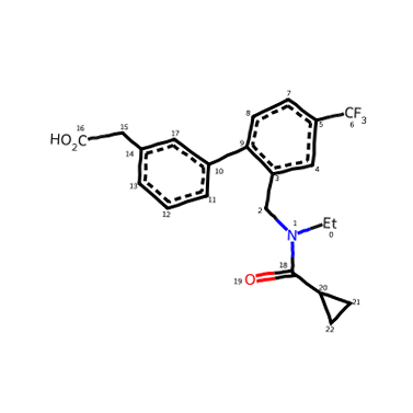 CCN(Cc1cc(C(F)(F)F)ccc1-c1cccc(CC(=O)O)c1)C(=O)C1CC1